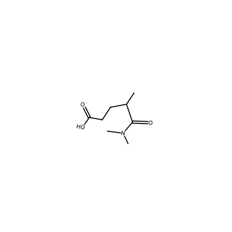 CC(CCC(=O)O)C(=O)N(C)C